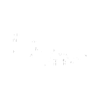 CNc1cc2c(cc1F)C(=O)N(c1cc(F)c(NC(=O)NS(=O)(=O)c3ccc(Cl)s3)c(F)c1)CO2